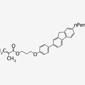 C=C(C)C(=O)OCCCOc1ccc(-c2ccc3c(c2)Cc2cc(CCCCC)ccc2-3)cc1